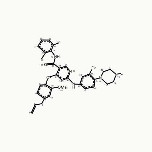 C=CCc1ccc(Oc2nc(Nc3ccc(N4CCN(C)CC4)c(F)c3)ncc2C(=O)Nc2c(C)cccc2C)c(OC)c1